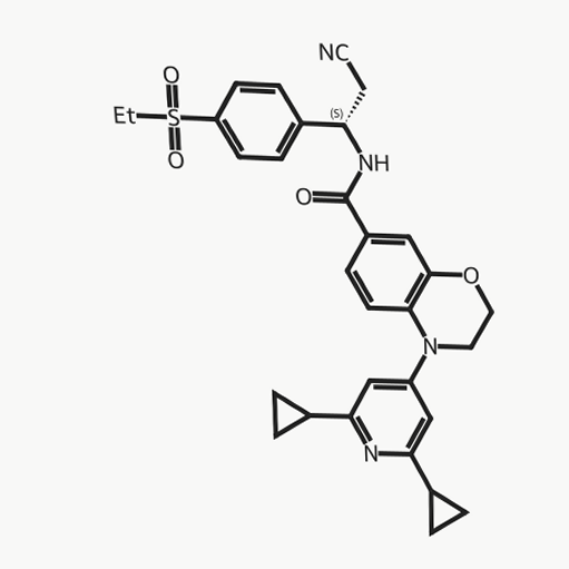 CCS(=O)(=O)c1ccc([C@H](CC#N)NC(=O)c2ccc3c(c2)OCCN3c2cc(C3CC3)nc(C3CC3)c2)cc1